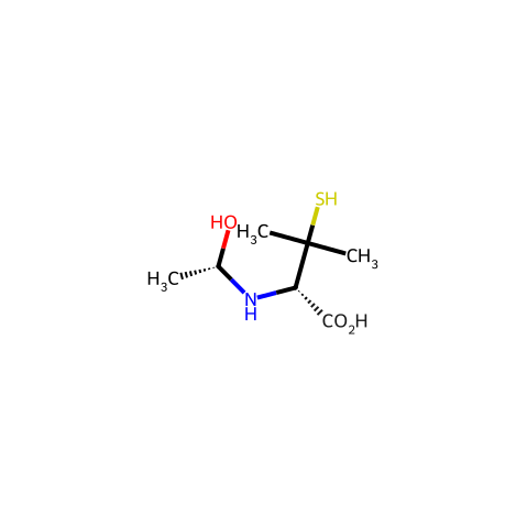 C[C@H](O)N[C@@H](C(=O)O)C(C)(C)S